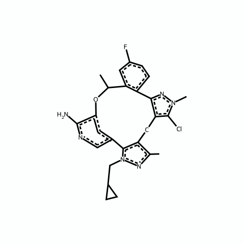 Cc1nn(CC2CC2)c2c1Cc1c(nn(C)c1Cl)-c1ccc(F)cc1C(C)Oc1cc-2cnc1N